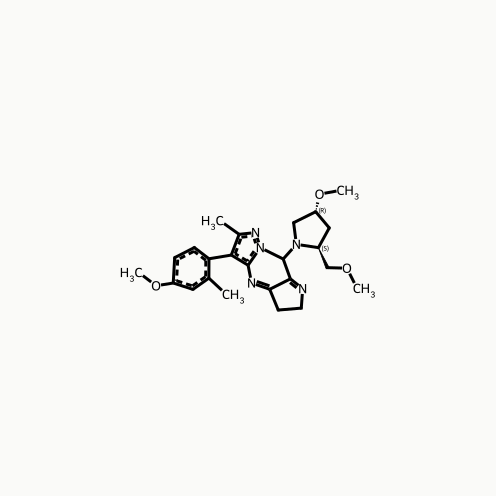 COC[C@@H]1C[C@@H](OC)CN1C1C2=NCCC2=Nc2c(-c3ccc(OC)cc3C)c(C)nn21